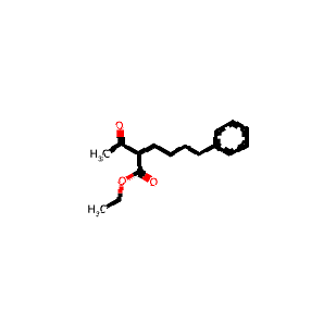 CCOC(=O)C(CCCCc1ccccc1)C(C)=O